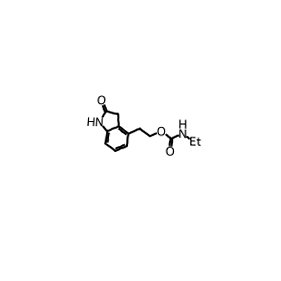 CCNC(=O)OCCc1cccc2c1CC(=O)N2